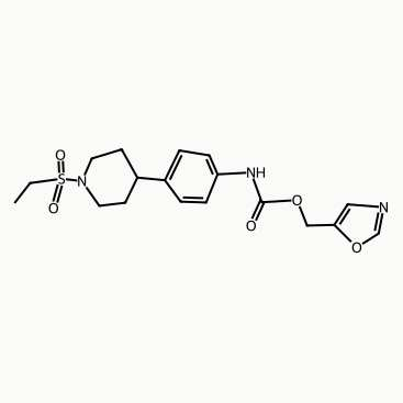 CCS(=O)(=O)N1CCC(c2ccc(NC(=O)OCc3cnco3)cc2)CC1